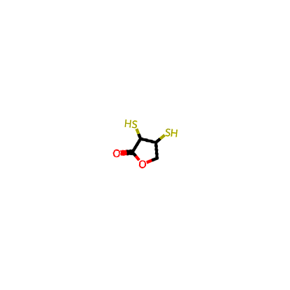 O=C1OCC(S)C1S